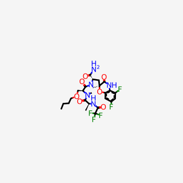 CCCCOC[C@@H](C(=O)N1C[C@@]2(C[C@H]1C(N)=O)Oc1cc(F)cc(F)c1NC2=O)N(C)C(=O)[C@H](C)NC(=O)C(F)(F)F